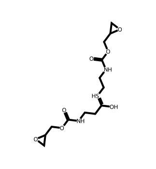 O=C(NCC[SH]=C(O)CCNC(=O)OCC1CO1)OCC1CO1